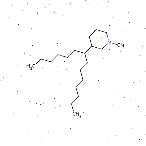 CCCCCCCC(CCCCCC)C1CCCN(C)C1